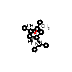 Cc1ccccc1-c1ccc2c(c1)c1cc(-c3ccccc3C)ccc1n2-c1c(-c2ccccc2C(F)(F)F)cc(-c2nc(-c3ccccc3)cc(-c3ccccc3)n2)cc1-c1ccccc1C(F)(F)F